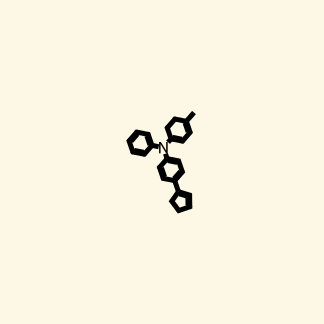 CC1=CC=C(N(c2ccccc2)c2ccc(C3=C=CCC3)cc2)CC1